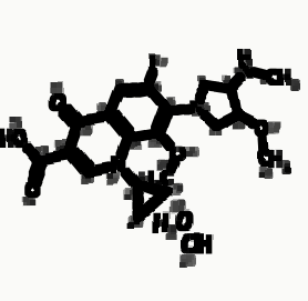 CNC1CN(c2c(F)cc3c(=O)c(C(=O)O)cn(C4CC4)c3c2OC)CC1OC.Cl.O